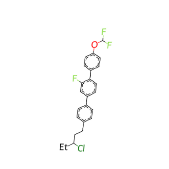 CCC(Cl)CCc1ccc(-c2ccc(-c3ccc(OC(F)F)cc3)c(F)c2)cc1